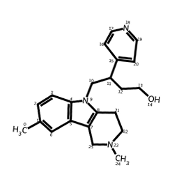 Cc1ccc2c(c1)c1c(n2CC(CCO)c2ccncc2)CCN(C)C1